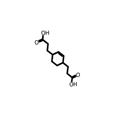 O=C(O)CCC1C=CC(CCC(=O)O)CC1